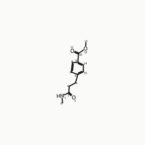 CNC(=O)CCc1ccc(C(=O)OC)cc1